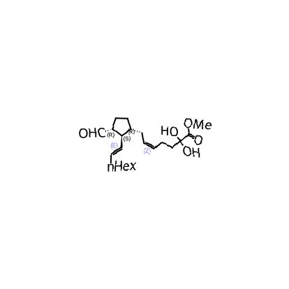 CCCCCC/C=C/[C@@H]1[C@@H](C/C=C\CCC(O)(O)C(=O)OC)CC[C@H]1C=O